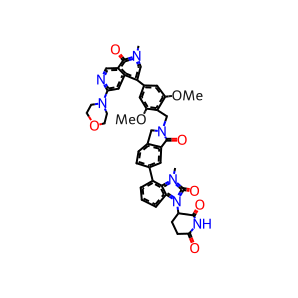 COc1cc(-c2cn(C)c(=O)c3cnc(N4CCOCC4)cc23)cc(OC)c1CN1Cc2ccc(-c3cccc4c3n(C)c(=O)n4C3CCC(=O)NC3=O)cc2C1=O